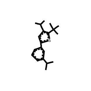 CC(C)c1cccc(-c2cc(C(C)C)c(C(C)(C)C)s2)c1